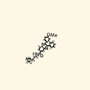 COc1ccc(-c2nc3ccc(C(=O)NCCCn4ccnc4)cc3nc2-c2ccccc2)cc1